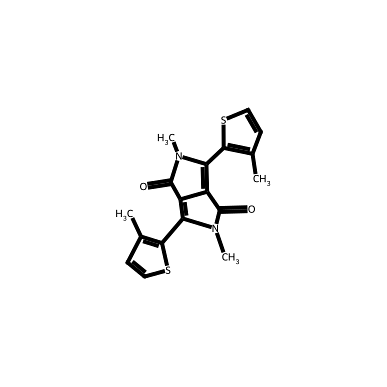 Cc1ccsc1C1=C2C(=O)N(C)C(c3sccc3C)=C2C(=O)N1C